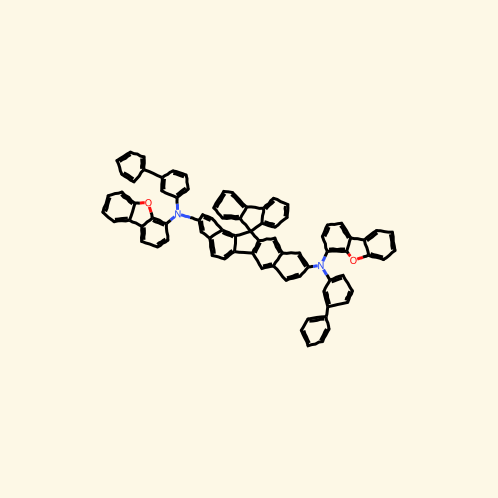 c1ccc(-c2cccc(N(c3ccc4cc5c(cc4c3)C3(c4ccccc4-c4ccccc43)c3c-5ccc4cc(N(c5cccc(-c6ccccc6)c5)c5cccc6c5oc5ccccc56)ccc34)c3cccc4c3oc3ccccc34)c2)cc1